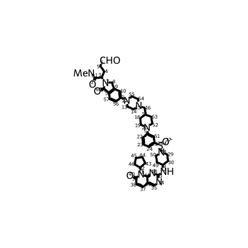 CNC(=O)C(CCC=O)N1Cc2cc(N3CCN(CC4CCN(c5cccc([S+]([O-])N6CCC(Nc7ncc8ccc(=O)n(C9CCCC9)c8n7)CC6)c5)CC4)CC3)ccc2C1=O